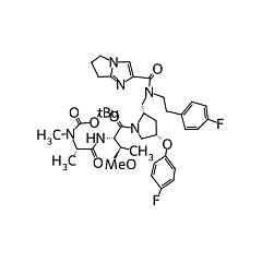 CO[C@H](C)[C@H](NC(=O)[C@H](C)N(C)C(=O)OC(C)(C)C)C(=O)N1C[C@@H](Oc2ccc(F)cc2)C[C@H]1CN(CCc1ccc(F)cc1)C(=O)c1cn2c(n1)CCC2